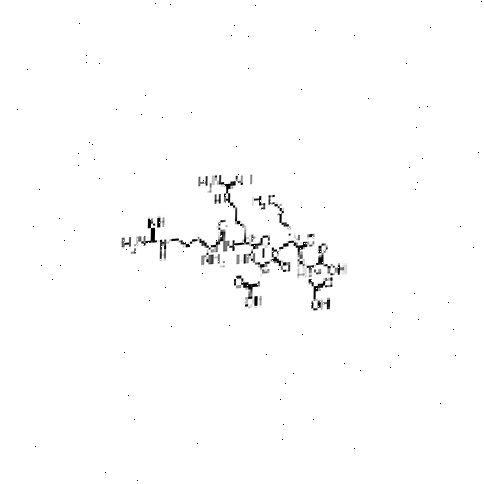 CSCC[C@@H](NC(=O)[C@H](CC(=O)O)NC(=O)[C@H](CCCNC(=N)N)NC(=O)[C@@H](N)CCCNC(=N)N)C(=O)N[C@@H](CC(=O)O)C(=O)O